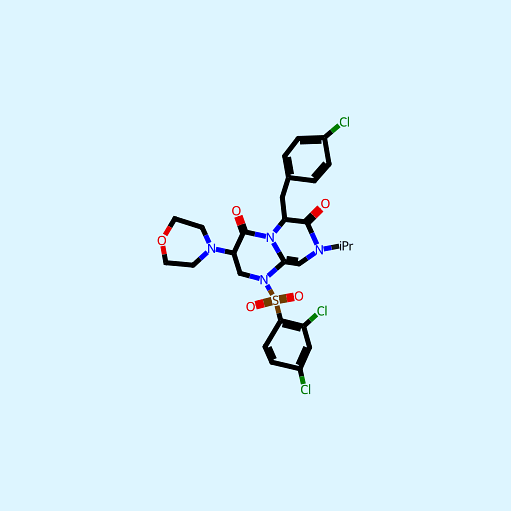 CC(C)N1C=C2N(C(=O)C(N3CCOCC3)CN2S(=O)(=O)c2ccc(Cl)cc2Cl)C(Cc2ccc(Cl)cc2)C1=O